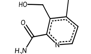 Cc1ccnc(C(N)=O)c1CO